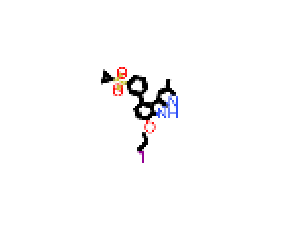 Cc1cnc2[nH]c3c(OCCCI)ccc(-c4cccc(S(=O)(=O)C5CC5)c4)c3c2c1